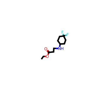 CCOC(=O)CCNC1CCC(F)(F)CC1